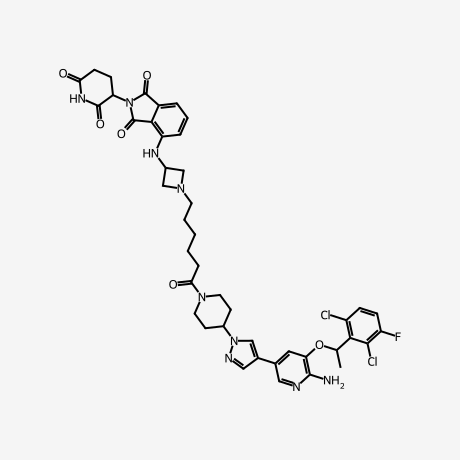 CC(Oc1cc(-c2cnn(C3CCN(C(=O)CCCCCN4CC(Nc5cccc6c5C(=O)N(C5CCC(=O)NC5=O)C6=O)C4)CC3)c2)cnc1N)c1c(Cl)ccc(F)c1Cl